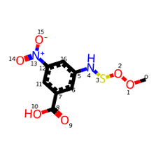 COOSNc1cc(C(=O)O)cc([N+](=O)[O-])c1